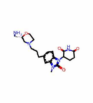 Cn1c(=O)n(C2CCC(=O)NC2=O)c2ccc(CCCN3CCO[C@@H](CN)C3)cc21